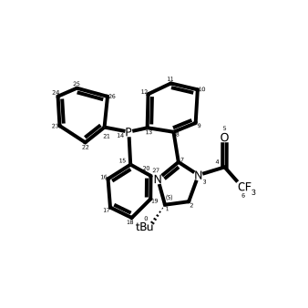 CC(C)(C)[C@H]1CN(C(=O)C(F)(F)F)C(c2ccccc2P(c2ccccc2)c2ccccc2)=N1